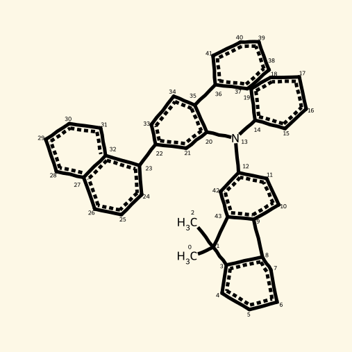 CC1(C)c2ccccc2-c2ccc(N(c3ccccc3)c3cc(-c4cccc5ccccc45)ccc3-c3ccccc3)cc21